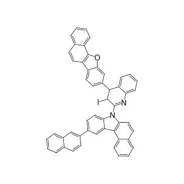 IC1C(n2c3ccc(-c4ccc5ccccc5c4)cc3c3c4ccccc4ccc32)=Nc2ccccc2C1c1ccc2c(c1)oc1c3ccccc3ccc21